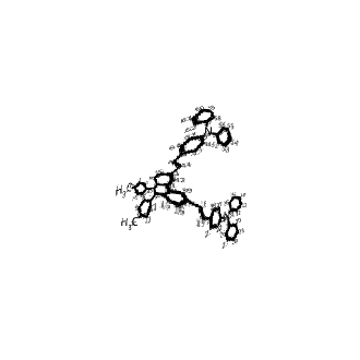 Cc1ccc(-c2c(-c3ccc(C)cc3)c3ccc(/C=C/c4ccc(N(c5ccccc5)c5ccccc5)cc4)cc3c3cc(/C=C/c4ccc(N(c5ccccc5)c5ccccc5)cc4)ccc23)cc1